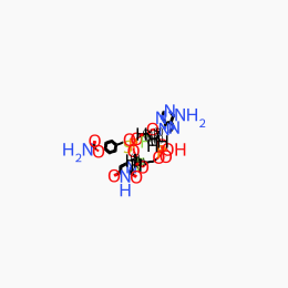 NC(=O)Oc1ccc(CSP2(=O)OC[C@H]3O[C@@H](n4cnc5c(N)ncnc54)[C@H](OP(=O)(O)OCC4O[C@@H](n5ccc(=O)[nH]c5=O)[C@H](O2)[C@@H]4F)[C@@H]3F)cc1